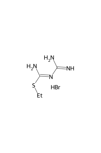 Br.CCSC(N)=NC(=N)N